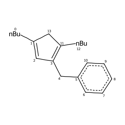 CCCCC1=CC(Cc2ccccc2)=C(CCCC)C1